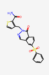 NC(=O)c1sccc1Cn1ncc2cc(S(=O)(=O)c3ccccc3)ccc2c1=O